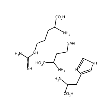 CSCCC(N)C(=O)O.N=C(N)NCCCC(N)C(=O)O.NC(Cc1c[nH]cn1)C(=O)O